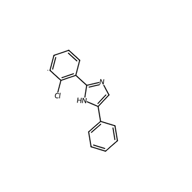 Clc1[c]cccc1-c1ncc(-c2ccccc2)[nH]1